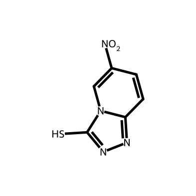 O=[N+]([O-])c1ccc2nnc(S)n2c1